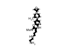 CNC(=O)/C(=C\CCNCCN)Nc1ccc(N2CCN(C3COC3)C[C@@H]2C)cn1